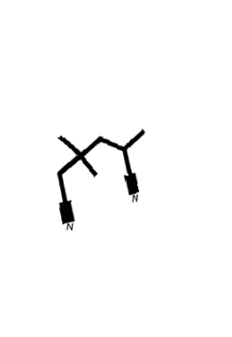 CC(C#N)CC(C)(C)CC#N